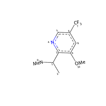 CNC(C)c1ncc(C(F)(F)F)cc1OC